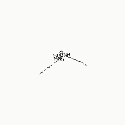 CCCCCCCCCCCCCCCCCCNC(=O)c1cc(NCCCCCCCCCCCCCCCCCC)c2ccccc2c1O